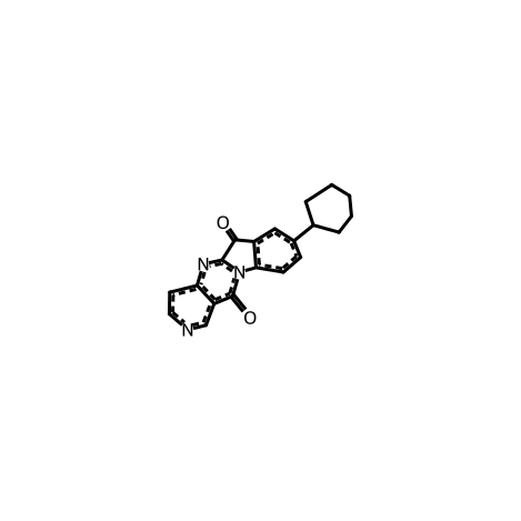 O=C1c2cc(C3CCCCC3)ccc2-n2c1nc1ccncc1c2=O